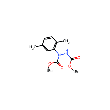 Cc1ccc(C)c(N(NC(=O)OC(C)(C)C)C(=O)OC(C)(C)C)c1